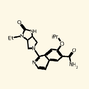 CCN1C(=O)NC2CN(c3nccc4cc(C(N)=O)c(OC(C)C)cc34)CC21